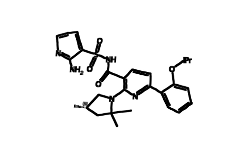 CC(C)Oc1ccccc1-c1ccc(C(=O)NS(=O)(=O)c2cccnc2N)c(N2C[C@@H](C)CC2(C)C)n1